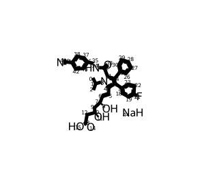 CC(C)n1c(C=C[C@@H](O)C[C@@H](O)CC(=O)O)c(-c2ccc(F)cc2)c(-c2ccccc2)c1C(=O)NCc1ccc(C#N)cc1.[NaH]